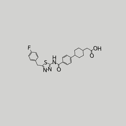 O=C(O)CC1CCC(c2ccc(C(=O)Nc3nnc(Cc4ccc(F)cc4)s3)cc2)CC1